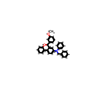 COc1cccc(C2Oc3ccccc3-c3ccc(N(Cc4ccccc4)c4ccccc4)cc32)c1